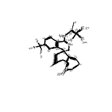 C[C@H](NC1=NC[C@@]2(CCc3ncccc32)c2cc(C(F)(F)F)ccc21)C(F)(F)F